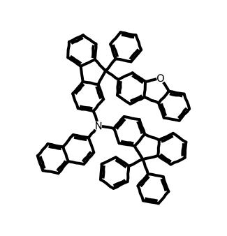 c1ccc(C2(c3ccccc3)c3ccccc3-c3ccc(N(c4ccc5c(c4)C(c4ccccc4)(c4ccc6c(c4)oc4ccccc46)c4ccccc4-5)c4ccc5ccccc5c4)cc32)cc1